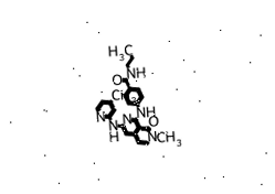 CCCNC(=O)c1ccc(Nc2nc(Nc3cc(C)ccn3)cc3ccn(C)c(=O)c23)cc1